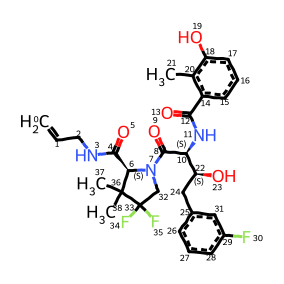 C=CCNC(=O)[C@H]1N(C(=O)[C@@H](NC(=O)c2cccc(O)c2C)[C@@H](O)Cc2cccc(F)c2)CC(F)(F)C1(C)C